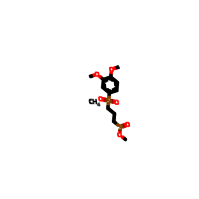 C.COc1ccc(S(=O)(=O)CCCS(=O)OC)cc1OC